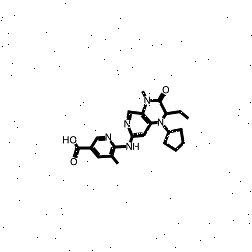 CCC1C(=O)N(C)c2cnc(Nc3ncc(C(=O)O)cc3C)cc2N1C1CCCC1